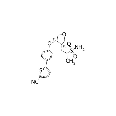 CC(C[C@H]1COC[C@H]1Oc1ccc(-c2ccc(C#N)s2)cc1)S(N)(=O)=O